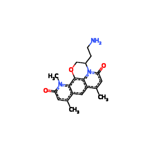 Cc1cc(=O)n(C)c2c3c4c(cc12)c(C)cc(=O)n4C(CCN)CO3